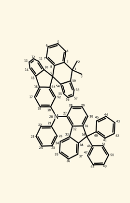 CC1(C)c2ccccc2C2(c3ccccc3-c3ccc(N(c4ccccc4)c4cccc5c4-c4ccccc4C5(c4ccccc4)c4ccccc4)cc32)c2ccccc21